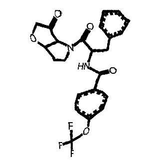 O=C(NC(Cc1ccccc1)C(=O)N1CCC2OCC(=O)C21)c1ccc(OC(F)(F)F)cc1